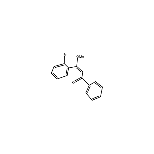 COC(=CC(=O)c1ccccc1)c1ccccc1Br